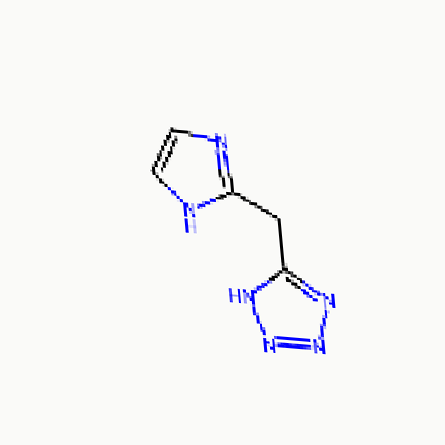 c1c[nH]c(Cc2nnn[nH]2)n1